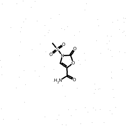 CS(=O)(=O)n1cc(C(N)=O)oc1=O